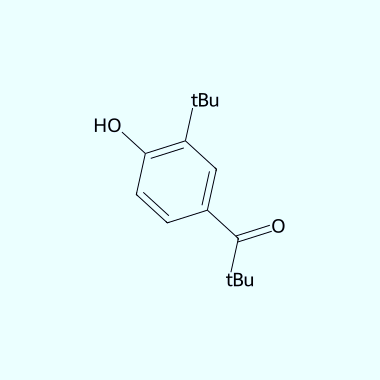 CC(C)(C)C(=O)c1ccc(O)c(C(C)(C)C)c1